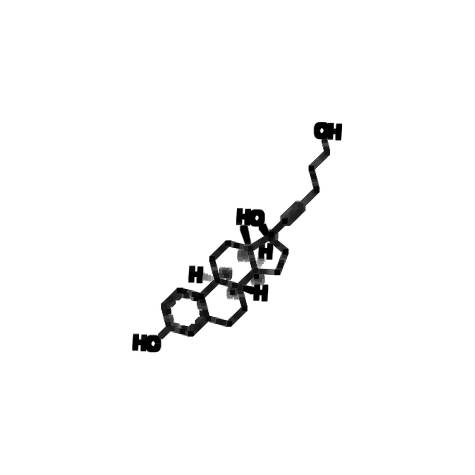 C[C@]12CC[C@@H]3c4ccc(O)cc4CC[C@H]3[C@@H]1CC[C@@]2(O)C#CCCCO